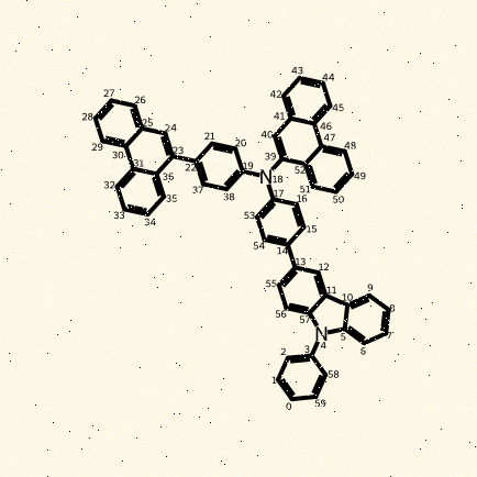 c1ccc(-n2c3ccccc3c3cc(-c4ccc(N(c5ccc(-c6cc7ccccc7c7ccccc67)cc5)c5cc6ccccc6c6ccccc56)cc4)ccc32)cc1